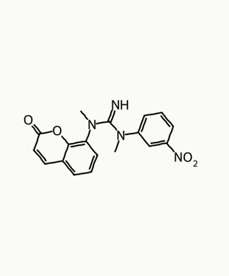 CN(C(=N)N(C)c1cccc2ccc(=O)oc12)c1cccc([N+](=O)[O-])c1